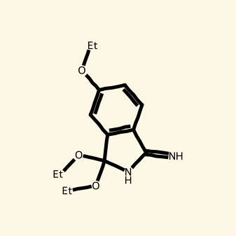 CCOc1ccc2c(c1)C(OCC)(OCC)NC2=N